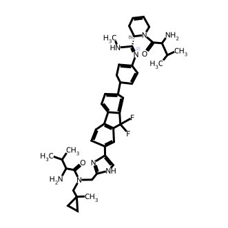 CN/C(=N\C1=CCC(c2ccc3c(c2)C(F)(F)c2cc(-c4c[nH]c(CN(CC5(C)CC5)C(=O)C(N)C(C)C)n4)ccc2-3)C=C1)[C@@H]1CC=CCN1C(=O)C(N)C(C)C